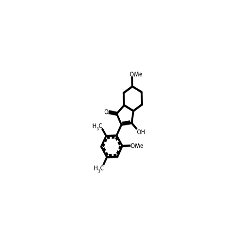 COc1cc(C)cc(C)c1C1=C(O)C2CCC(OC)CC2C1=O